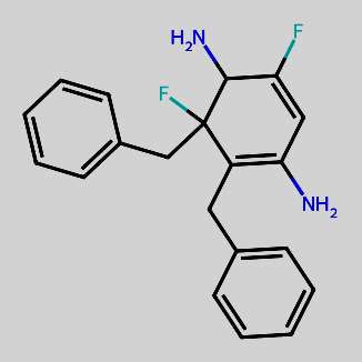 NC1=C(Cc2ccccc2)C(F)(Cc2ccccc2)C(N)C(F)=C1